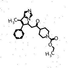 CCOC(=O)N1CCC(C(=O)CC2C(c3ccccc3)=C(C)c3cncn32)CC1